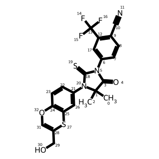 CC1(C)C(=O)N(c2ccc(C#N)c(C(F)(F)F)c2)C(=S)N1c1ccc2c(c1)SC(CO)=CO2